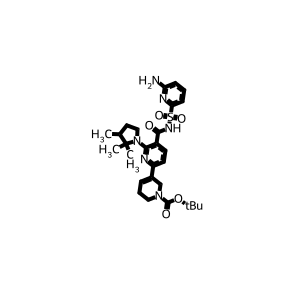 CC1CCN(c2nc(C3=CCCN(C(=O)OC(C)(C)C)C3)ccc2C(=O)NS(=O)(=O)c2cccc(N)n2)C1(C)C